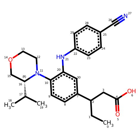 CCC(CC(=O)O)c1ccc(N2CCOC[C@H]2C(C)C)c(Nc2ccc(C#N)cc2)c1